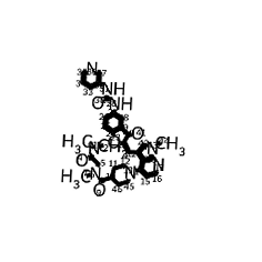 CN(C)C(=O)CN(C)C(=O)C1CCN(c2ccnc3c2c(C=C2Oc4ccc(NC(=O)Nc5cccnc5)cc4C2=O)cn3C)CC1